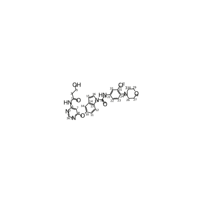 O=C(CCO)Nc1cc(Oc2ccc3c(ccn3C(=O)Nc3ccc(N4CCOCC4)c(C(F)(F)F)c3)c2)ncn1